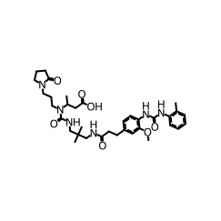 COc1cc(CCC(=O)NCC(C)(C)CNC(=O)N(CCCN2CCCC2=O)C(C)CC(=O)O)ccc1NC(=O)Nc1ccccc1C